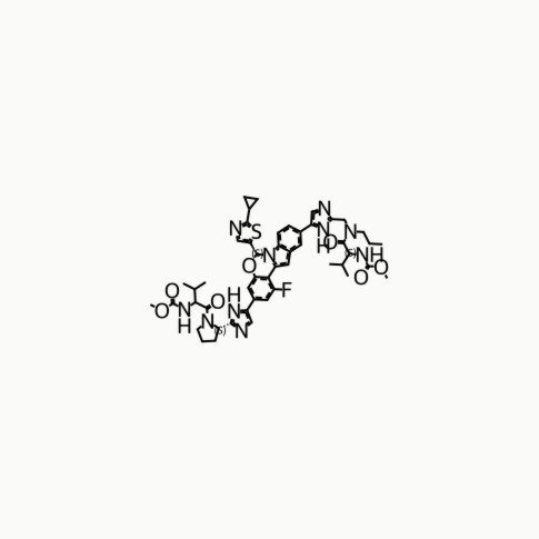 CCCN(Cc1ncc(-c2ccc3c(c2)cc2n3[C@H](c3cnc(C4CC4)s3)Oc3cc(-c4cnc([C@@H]5CCCN5C(=O)C(NC(=O)OC)C(C)C)[nH]4)cc(F)c3-2)[nH]1)C(=O)[C@@H](NC(=O)OC)C(C)C